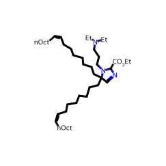 CCCCCCCC/C=C\CCCCCCCC1(CCCCCCC/C=C\CCCCCCCC)C=NC(C(=O)OCC)N1CCCN(CC)CC